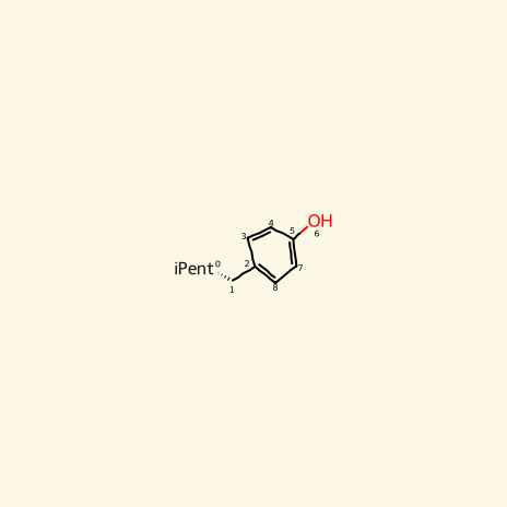 CCC[C@@H](C)Cc1ccc(O)cc1